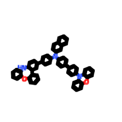 C1=CC2Nc3ccccc3Oc3ccccc3C2C=C1c1ccc(N(c2ccc(-c3ccc(N4c5ccccc5Oc5ccccc54)cc3)cc2)c2ccc3ccccc3c2)cc1